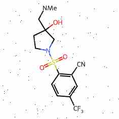 CNCC1(O)CCN(S(=O)(=O)c2ccc(C(F)(F)F)cc2C#N)C1